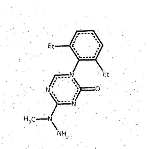 CCc1cccc(CC)c1-n1cnc(N(C)N)nc1=O